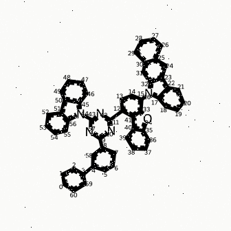 c1ccc(-c2cccc(-c3nc(-c4ccc(-n5c6ccccc6c6cc7ccccc7cc65)c5oc6ccccc6c45)nc(-n4c5ccccc5c5ccccc54)n3)c2)cc1